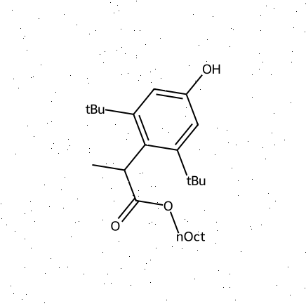 CCCCCCCCOC(=O)C(C)c1c(C(C)(C)C)cc(O)cc1C(C)(C)C